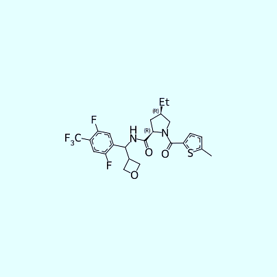 CC[C@@H]1C[C@H](C(=O)NC(c2cc(F)c(C(F)(F)F)cc2F)C2COC2)N(C(=O)c2ccc(C)s2)C1